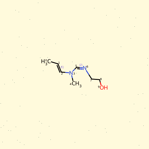 C/C=C/N(C)/C=N\CCO